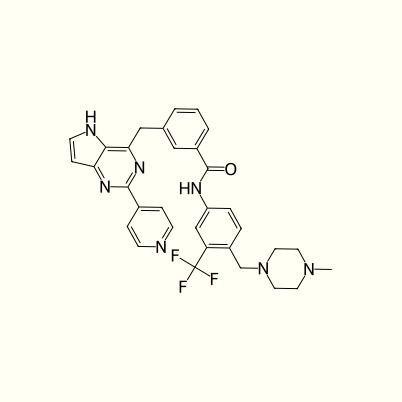 CN1CCN(Cc2ccc(NC(=O)c3cccc(Cc4nc(-c5ccncc5)nc5cc[nH]c45)c3)cc2C(F)(F)F)CC1